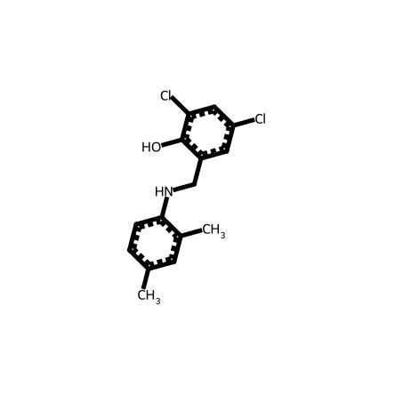 Cc1ccc(NCc2cc(Cl)cc(Cl)c2O)c(C)c1